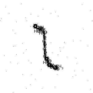 CC(C)C[C@H](NC(=O)[C@@H](O)[C@H](N)Cc1ccccc1)C(=O)NCCOCCOCCOCCOCCOCCOc1ccc(C(=O)Nc2ccc3oc(-c4ccc(=O)n(C)n4)nc3c2)cc1